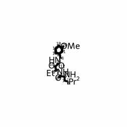 CCC(NC(=O)C(N)CC(C)C)C(=O)C(=O)NCc1cccc(OC)c1